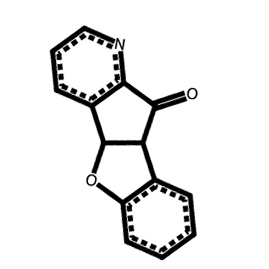 O=C1c2ncccc2C2Oc3ccccc3C12